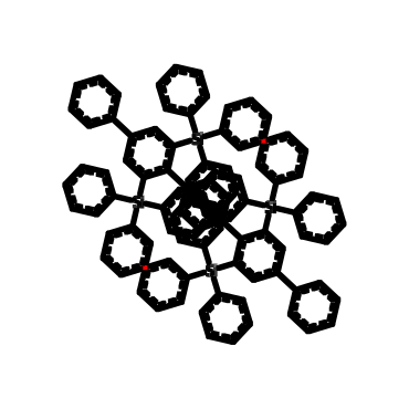 c1ccc(-c2cc([Si](c3ccccc3)(c3ccccc3)c3ccccc3)c(-c3ccc(-c4c([Si](c5ccccc5)(c5ccccc5)c5ccccc5)cc(-c5ccccc5)cc4[Si](c4ccccc4)(c4ccccc4)c4ccccc4)cc3)c([Si](c3ccccc3)(c3ccccc3)c3ccccc3)c2)cc1